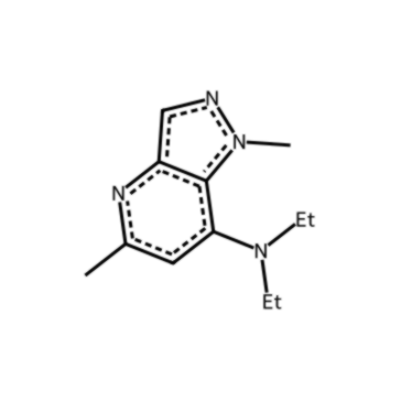 CCN(CC)c1cc(C)nc2cnn(C)c12